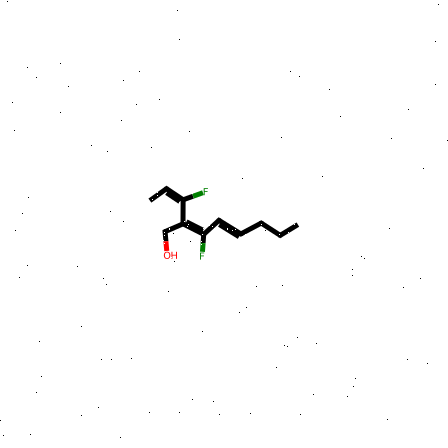 C\C=C(F)/C(CO)=C(F)\C=C\CCC